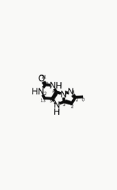 Cc1cc2[nH]c3c(n2n1)NC(=O)NC3